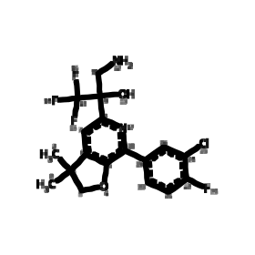 CC1(C)COc2c1cc(C(O)(CN)C(F)(F)F)nc2-c1ccc(F)c(Cl)c1